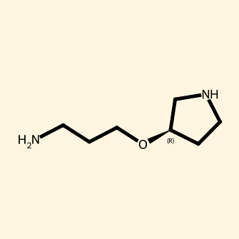 NCCCO[C@@H]1CCNC1